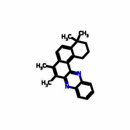 Cc1c(C)c2nc3ccccc3nc2c2c3c(ccc12)C(C)(C)CCC3